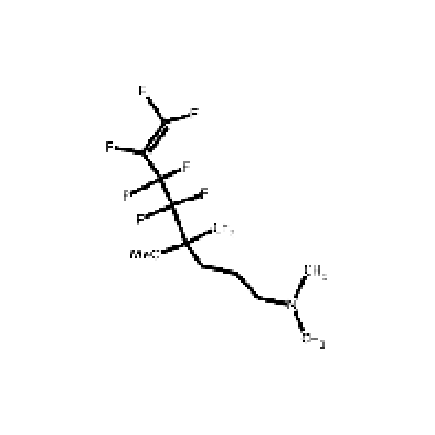 COC(CCCN(C)C)(C(F)(F)F)C(F)(F)C(F)(F)C(F)=C(F)F